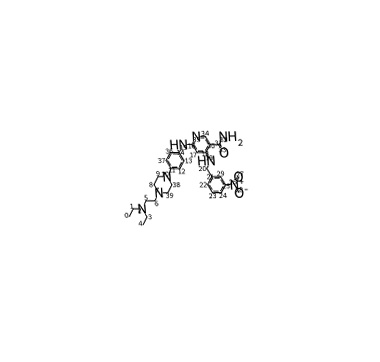 CCN(CC)CCN1CCN(c2ccc(Nc3cc(NCc4cccc([N+](=O)[O-])c4)c(C(N)=O)cn3)cc2)CC1